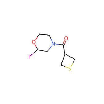 O=C(C1CSC1)N1CCOC(I)C1